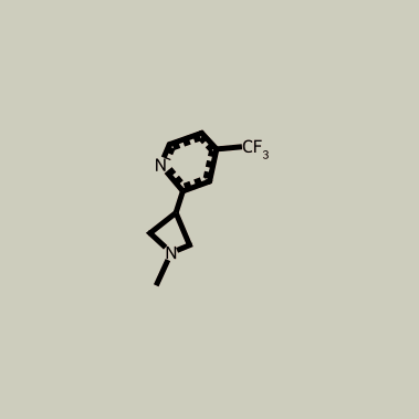 CN1CC(c2cc(C(F)(F)F)ccn2)C1